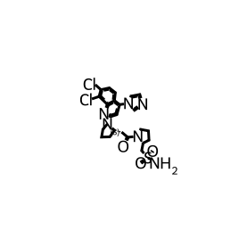 NS(=O)(=O)CC1CCCN1C(=O)C[C@@H]1CCCN1c1cc(-n2ccnc2)c2ccc(Cl)c(Cl)c2n1